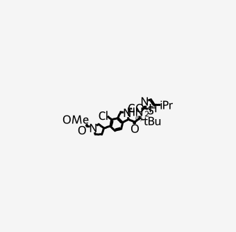 COC(=O)N1CCC(c2ccc3c(c2Cl)CN(C(=O)O)C3C(=O)[C@@H](Nc2ncc(C(C)C)s2)C(C)(C)C)C1